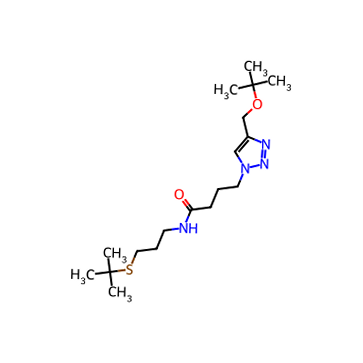 CC(C)(C)OCc1cn(CCCC(=O)NCCCSC(C)(C)C)nn1